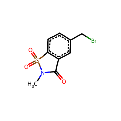 CN1C(=O)c2cc(CBr)ccc2S1(=O)=O